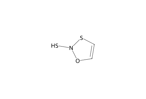 SN1OC=CS1